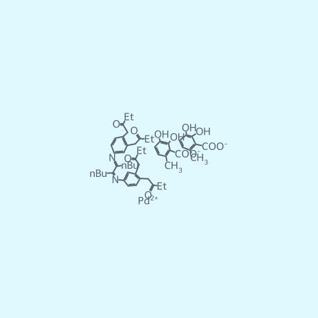 CCCCC(=Nc1ccc(CC(=O)CC)c(CC(=O)CC)c1)C(CCCC)=Nc1ccc(CC(=O)CC)c(CC(=O)CC)c1.Cc1ccc(O)c(O)c1C(=O)[O-].Cc1ccc(O)c(O)c1C(=O)[O-].[Pd+2]